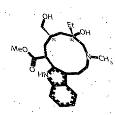 CC[C@]1(O)C[C@H](CO)CC(C(=O)OC)c2[nH]c3ccccc3c2CCN(C)C1